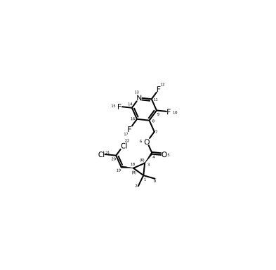 CC1(C)[C@H](C(=O)OCc2c(F)c(F)nc(F)c2F)[C@@H]1C=C(Cl)Cl